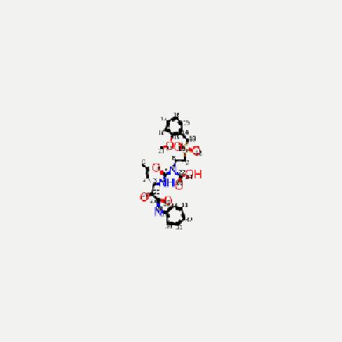 CCC[C@H](NC(=O)N(CCS(=O)(=O)Cc1ccccc1OC)C(=O)O)C(=O)c1nc2ccccc2o1